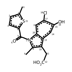 Cc1ccc(C(=O)n2c(C)c(CC(=O)O)c3cc(O)c(Cl)cc32)s1